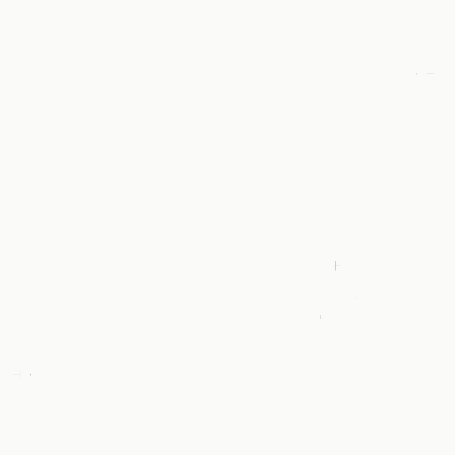 CC=CC1CCC(CC(F)(F)OCc2ccc(CCCCC)cc2)CC1